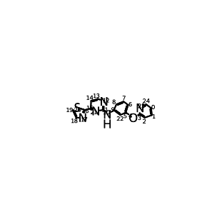 c1ccc(Oc2cccc(Nc3nccc(-c4nccs4)n3)c2)nc1